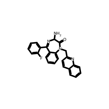 NC1N=C(c2ccccc2F)c2ccccc2N(Cc2ccc3ccccc3n2)C1=O